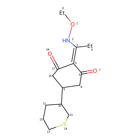 CCONC(CC)=C1C(=O)CC(C2CCCSC2)CC1=O